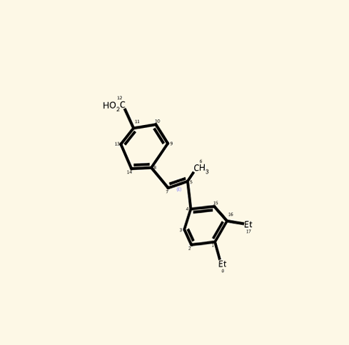 CCc1ccc(/C(C)=C/c2ccc(C(=O)O)cc2)cc1CC